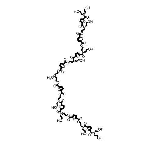 CN(CCOC(=O)c1ccc(C(=O)OCCN(CCO)C(=O)c2ccc(C(=O)N(CCO)CCOC(=O)c3ccc(C(=O)OCCN(CCO)C(=O)c4ccc(C(=O)N(CCO)CCO)o4)o3)o2)o1)CCOC(=O)c1ccc(C(=O)OCCN(CCO)C(=O)c2ccc(C(=O)N(CCO)CCOC(=O)c3ccc(C(=O)OCCN(CCO)C(=O)c4ccc(C(=O)N(CCO)CCO)o4)o3)o2)o1